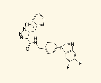 CN1N=NC(C(=O)NCC2=CC=C(n3cnc4cc(F)c(F)cc43)CC2)C1Cc1ccccc1